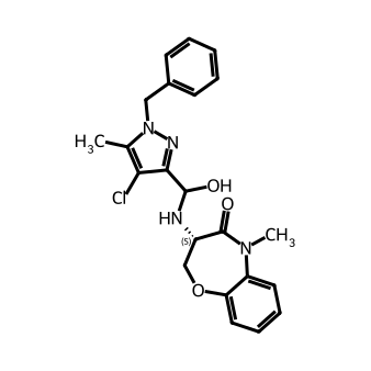 Cc1c(Cl)c(C(O)N[C@H]2COc3ccccc3N(C)C2=O)nn1Cc1ccccc1